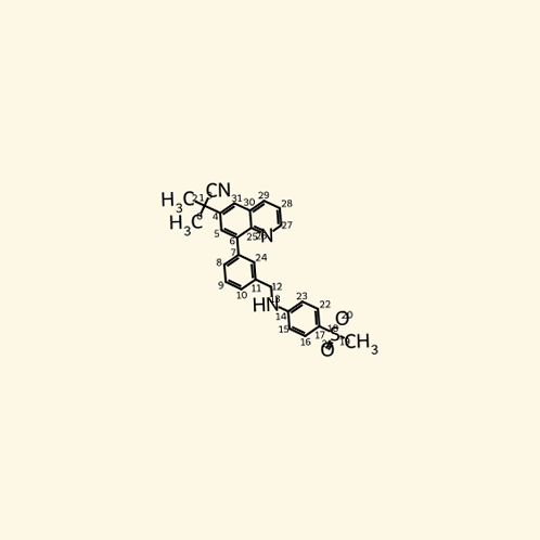 CC(C)(C#N)c1cc(-c2cccc(CNc3ccc(S(C)(=O)=O)cc3)c2)c2ncccc2c1